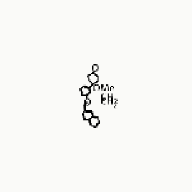 C=C.COC1(c2cccc(OCc3ccc4ccccc4c3)c2)CCC(=O)CC1